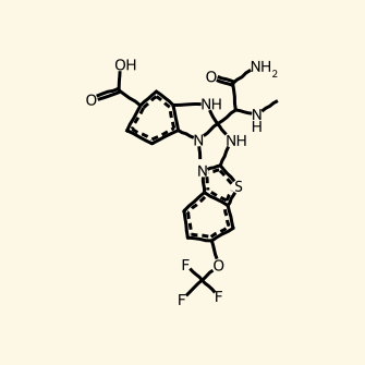 CNC(C(N)=O)C1(Nc2nc3ccc(OC(F)(F)F)cc3s2)Nc2cc(C(=O)O)ccc2N1C